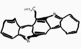 O=C(O)c1c2c(cc3c1=c1ccccc1=N3)=c1ccccc1=N2